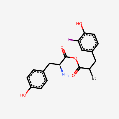 CCC(Cc1ccc(O)c(I)c1)C(=O)OC(=O)[C@@H](N)Cc1ccc(O)cc1